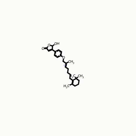 CC1=C(CCCC/C=C(\C)COc2ccc(C3=CC(=O)OC3O)cc2)C(C)(C)CCC1